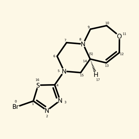 Brc1nnc(N2CCN3CCOC=C[C@H]3C2)s1